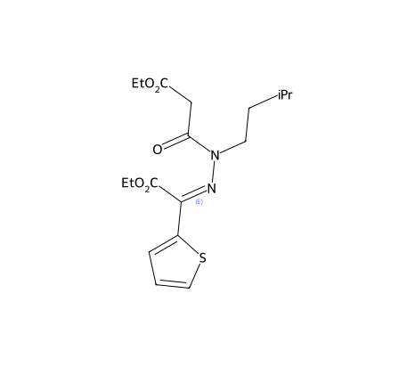 CCOC(=O)CC(=O)N(CCC(C)C)/N=C(\C(=O)OCC)c1cccs1